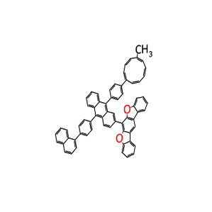 Cc1cccccc(-c2ccc(-c3c4ccccc4c(-c4ccc(-c5cccc6ccccc56)cc4)c4ccc(-c5c6oc7ccccc7c6cc6c5oc5ccccc56)cc34)cc2)ccc1